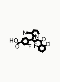 N#Cc1cccn2c(C(=O)c3c(F)cccc3Cl)cc(-c3ccc(C(=O)O)cc3F)c12